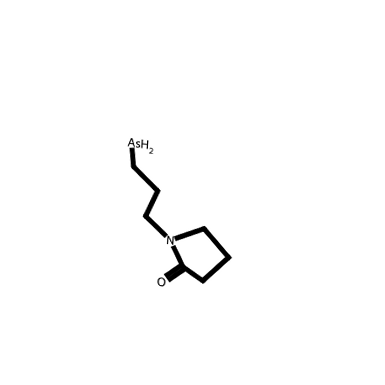 O=C1CCCN1CCC[AsH2]